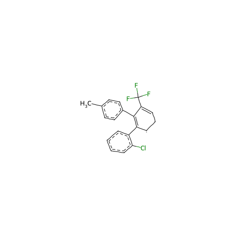 Cc1ccc(C2=C(c3ccccc3Cl)[CH]CC=C2C(F)(F)F)cc1